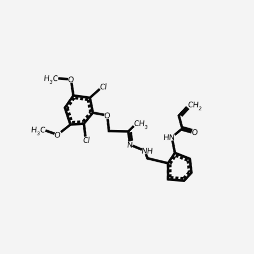 C=CC(=O)Nc1ccccc1CN/N=C(\C)COc1c(Cl)c(OC)cc(OC)c1Cl